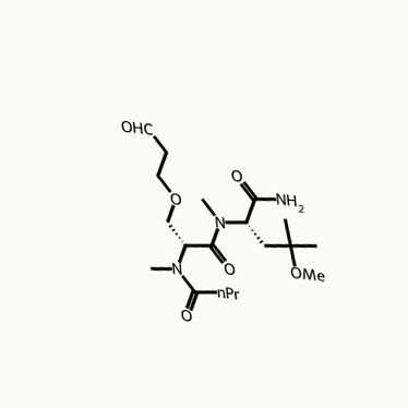 CCCC(=O)N(C)[C@H](COCCC=O)C(=O)N(C)[C@@H](CC(C)(C)OC)C(N)=O